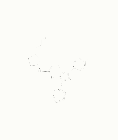 COCC[C@H]1CC[C@H](NC(=O)Nc2c(C)c(-c3cnc(C)nc3)nn2-c2ccccc2)C1